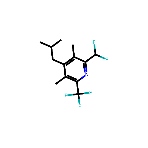 Cc1c(C(F)F)nc(C(F)(F)F)c(C)c1CC(C)C